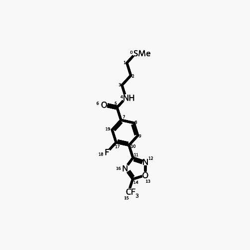 CSCCCNC(=O)c1ccc(-c2noc(C(F)(F)F)n2)c(F)c1